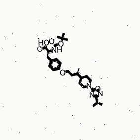 CC(C)c1noc(N2CCC([C@H](C)CCOc3ccc(C[C@H](NC(=O)OC(C)(C)C)C(=O)O)cc3)CC2)n1